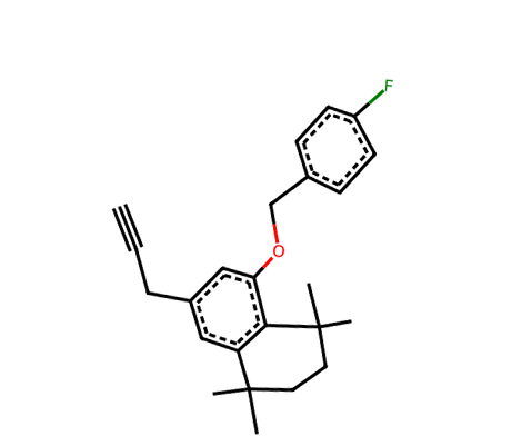 C#CCc1cc(OCc2ccc(F)cc2)c2c(c1)C(C)(C)CCC2(C)C